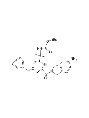 CC(C)(C)OC(=O)NC(C)(C)C(=O)N[C@H](COCc1ccccc1)C(=O)N1Cc2ccc(N)cc2C1